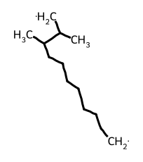 [CH2]CCCCCCCC(C)C([CH2])C